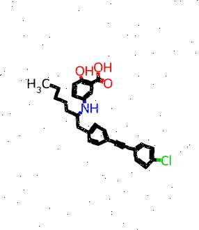 CCCCCC(Cc1ccc(C#Cc2ccc(Cl)cc2)cc1)Nc1ccc(O)c(C(=O)O)c1